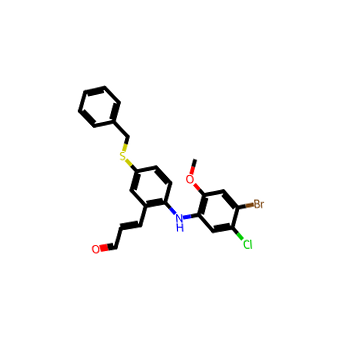 COc1cc(Br)c(Cl)cc1Nc1ccc(SCc2ccccc2)cc1/C=C/C=O